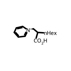 CCCCCCC(C[n+]1ccccc1)C(=O)O